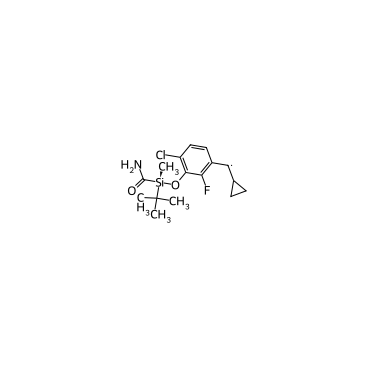 CC(C)(C)[Si@@](C)(Oc1c(Cl)ccc([CH]C2CC2)c1F)C(N)=O